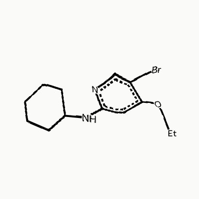 CCOc1cc(NC2CCCCC2)ncc1Br